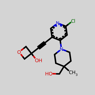 CC1(CO)CCN(c2cc(Cl)ncc2C#CC2(O)COC2)CC1